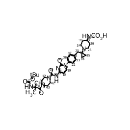 CC(C)(C)OC(=O)NC(C)(C)C(=O)N1CCN(C(=O)Nc2ccn(-c3ccc(CC4(N5CCC(NC(=O)O)CC5)CC4)cc3)c(=O)n2)CC1